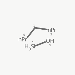 CCCCCCC.O[SiH3]